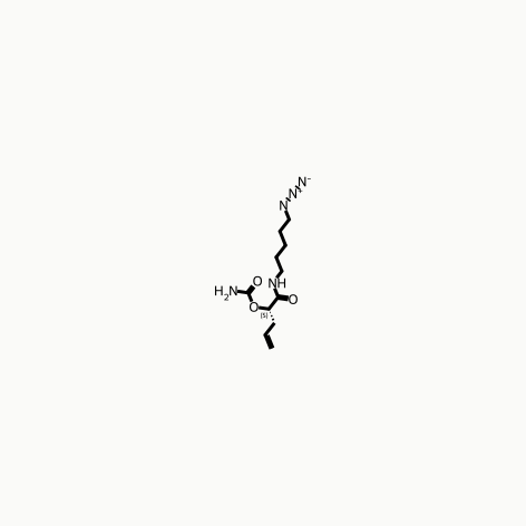 C=CC[C@H](OC(N)=O)C(=O)NCCCCCN=[N+]=[N-]